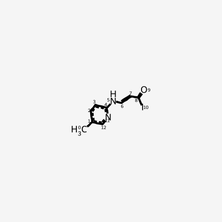 Cc1ccc(NC=CC(=O)I)nc1